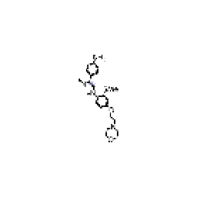 C=N/C(=C\N(C)c1ccc(OCCN2CCOCC2)cc1SC)c1ccc(N)cc1